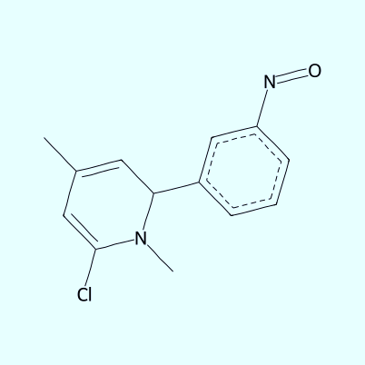 CC1=CC(c2cccc(N=O)c2)N(C)C(Cl)=C1